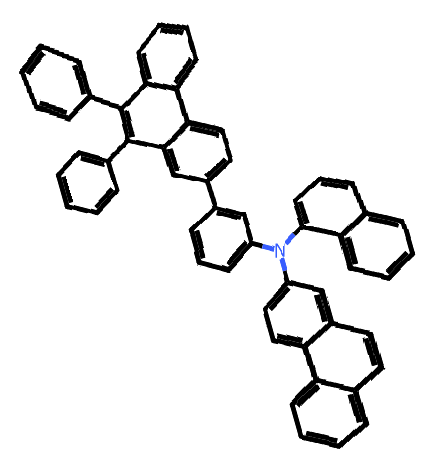 c1ccc(-c2c(-c3ccccc3)c3cc(-c4cccc(N(c5ccc6c(ccc7ccccc76)c5)c5cccc6ccccc56)c4)ccc3c3ccccc23)cc1